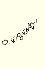 C[C@@H]1CN(c2ncc(I)cn2)C[C@H](C)N1C(=O)OC1CCN(Cc2ccccc2)CC1